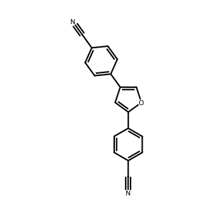 N#Cc1ccc(-c2coc(-c3ccc(C#N)cc3)c2)cc1